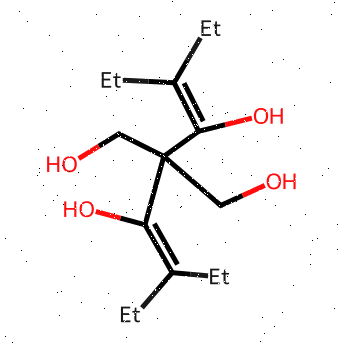 CCC(CC)=C(O)C(CO)(CO)C(O)=C(CC)CC